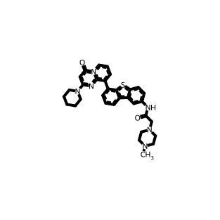 CN1CCN(CC(=O)Nc2ccc3sc4c(-c5cccn6c(=O)cc(N7CCCCC7)nc56)cccc4c3c2)CC1